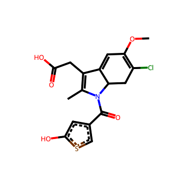 COC1=C(Cl)CC2C(=C1)C(CC(=O)O)=C(C)N2C(=O)c1csc(O)c1